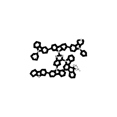 CC1(C)c2ccccc2-c2ccc3c(c21)c1ccccc1n3-c1nc(-n2c3cc(-c4ccc5c(c4)c4ccccc4n5-c4ccccc4)ccc3c3ccc(-c4ccc5c(c4)c4ccccc4n5-c4ccccc4)cc32)nc2ccc(-n3c4ccccc4c4ccc(-c5ccc6c(c5)sc5ccccc56)cc43)cc12